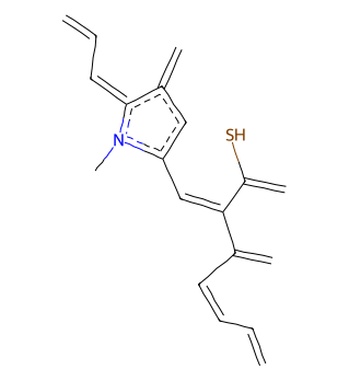 C=C/C=C\C(=C)/C(=C/c1cc(=C)/c(=C\C=C)n1C)C(=C)S